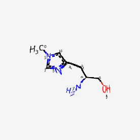 Cn1cnc(C[C@H](N)CO)c1